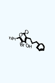 CCCc1oc(=O)c(CCCc2ccccc2)c(O)c1Br